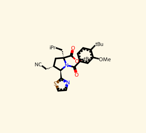 COc1cc(C(=O)N2[C@@H](c3nccs3)[C@H](CC#N)C[C@@]2(CC(C)C)C(=O)OC(C)(C)C)ccc1C(C)(C)C